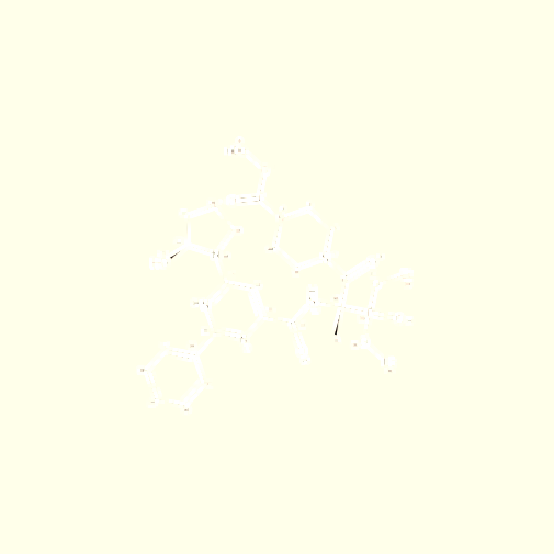 CCCCOC(=O)N1CCN(C(=O)[C@@](C)(NC(=O)c2cc(N3CCC[C@@H]3O)nc(-c3ccccc3)n2)P(=O)(OCC)OCC)CC1